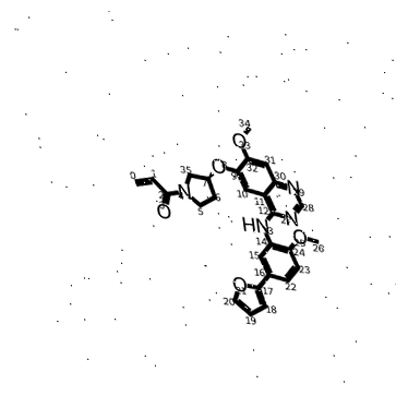 C=CC(=O)N1CC[C@H](Oc2cc3c(Nc4cc(-c5ccco5)ccc4OC)ncnc3cc2OC)C1